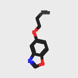 CSCCOc1ccc2ocnc2c1